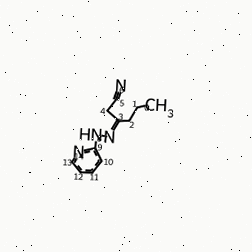 CCCC(CC#N)=NNc1ccccn1